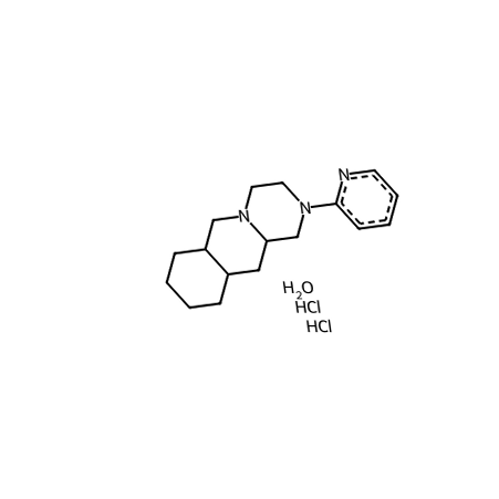 Cl.Cl.O.c1ccc(N2CCN3CC4CCCCC4CC3C2)nc1